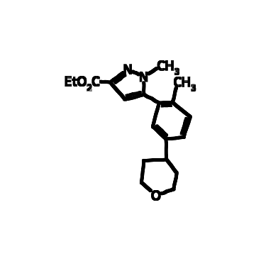 CCOC(=O)c1cc(-c2cc(C3CCOCC3)ccc2C)n(C)n1